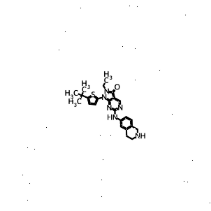 CCn1c(=O)c2cnc(Nc3ccc4c(c3)CCNC4)nc2n1-c1ccc(C(C)(C)C)s1